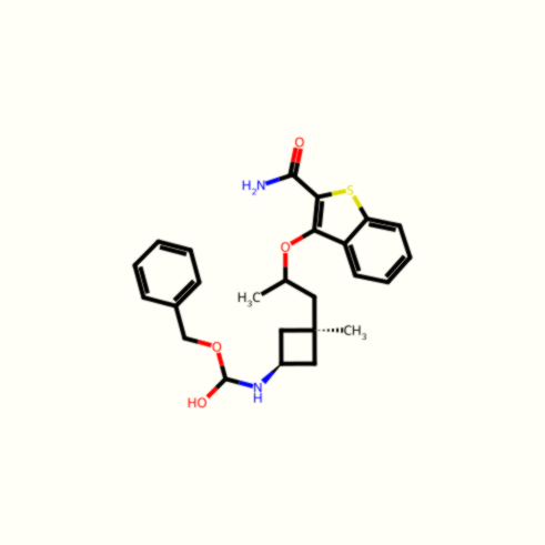 CC(C[C@]1(C)C[C@H](NC(O)OCc2ccccc2)C1)Oc1c(C(N)=O)sc2ccccc12